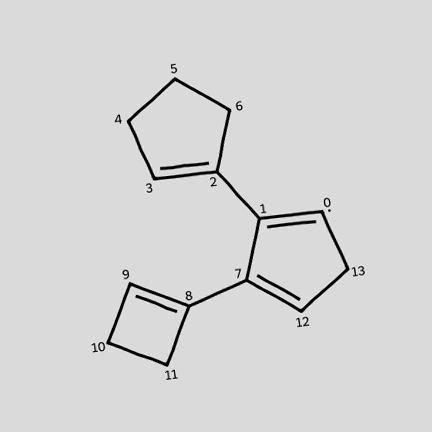 [C]1=C(C2=CCCC2)C(C2=CCC2)=CC1